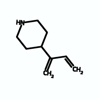 C=CC(=C)C1CCNCC1